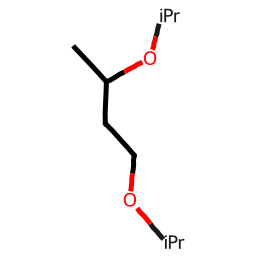 CC(C)OCCC(C)OC(C)C